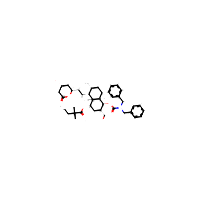 CCC(C)(C)C(=O)O[C@H]1C[C@H](CO)[C@H](OC(=O)N(Cc2ccccc2)Cc2ccccc2)[C@@H]2CC[C@H](C)[C@H](CC[C@@H]3C[C@@H](O)CC(=O)O3)[C@H]21